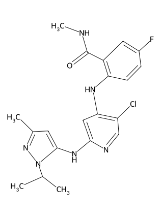 CNC(=O)c1cc(F)ccc1Nc1cc(Nc2cc(C)nn2C(C)C)ncc1Cl